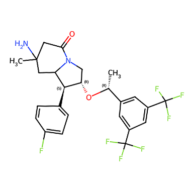 C[C@@H](O[C@H]1CN2C(=O)CC(C)(N)CC2[C@@H]1c1ccc(F)cc1)c1cc(C(F)(F)F)cc(C(F)(F)F)c1